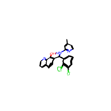 Cc1ccnc(NC(c2cccc(Cl)c2Cl)c2ccc3cccnc3c2O)c1